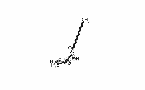 CCCCCCCCCCCCCCC(=O)OC[C@H](COP(=O)([O-])OCC[N+](C)(C)C)OO